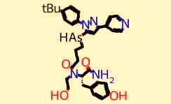 CC(C)(C)c1ccc(-n2nc(-c3ccncc3)cc2[AsH]CCCC(=O)N(CCO)[C@@H](Cc2ccc(O)cc2)C(N)=O)cc1